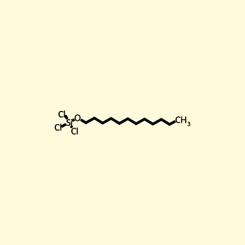 CCCCCCCCCCCCO[Si](Cl)(Cl)Cl